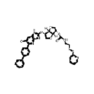 O=C(NCCSSc1ccccn1)O[C@H]1CO[C@@H]2[C@H]1OC[C@@H]2Oc1nc2nc(-c3ccc(-c4ccccc4)cc3)c(Cl)cc2[nH]1